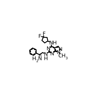 Cn1ncc2c(NC3CCC(F)(F)C3)nc(NC[C@H](N)c3ccccc3)nc21